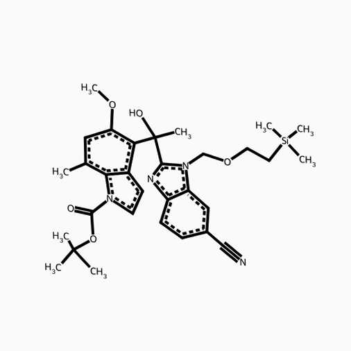 COc1cc(C)c2c(ccn2C(=O)OC(C)(C)C)c1C(C)(O)c1nc2ccc(C#N)cc2n1COCC[Si](C)(C)C